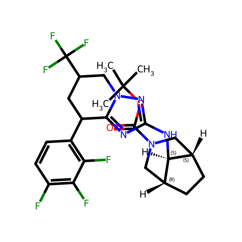 CC(C)(C)OC(=O)N1C[C@H]2CC[C@@H](C1)[C@@H]2Nc1nc2n(n1)CC(C(F)(F)F)CC2c1ccc(F)c(F)c1F